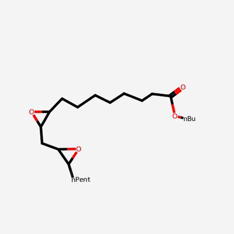 CCCCCC1OC1CC1OC1CCCCCCCC(=O)OCCCC